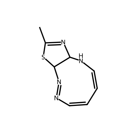 CC1=NC2N\C=C/C=C\N=N\C2S1